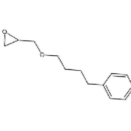 [CH](CCCc1ccccc1)OCC1CO1